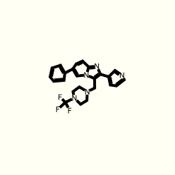 FC(F)(F)N1CCN(Cc2c(-c3cccnc3)nc3ccc(-c4ccccc4)cn23)CC1